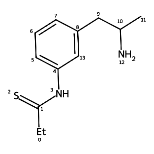 CCC(=S)Nc1cccc(CC(C)N)c1